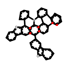 c1ccc(-c2ccccc2-c2c(-c3ccccc3)cccc2N(c2ccc(-c3ccc4oc5ccccc5c4c3)cc2)c2ccccc2-c2cccc3c2oc2ccccc23)cc1